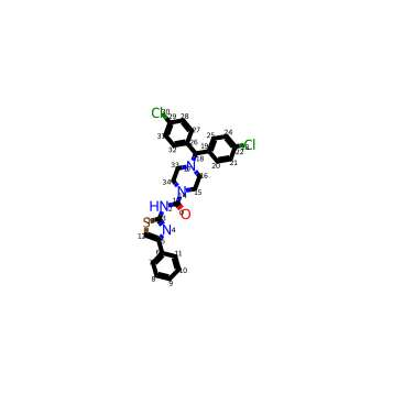 O=C(Nc1nc(-c2ccccc2)cs1)N1CCN(C(c2ccc(Cl)cc2)c2ccc(Cl)cc2)CC1